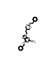 Nc1nc(OCc2ccccc2)c2ncn(CCC3COP(OCc4ccccc4)OC3)c2n1